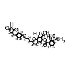 Cc1c2c(cc(C(C)(C)C)c1OC(=O)c1cccc(N(C)C)c1)OC(CCCOc1ccc(CC3SC(=O)NC3=O)cc1)CC2